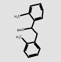 COC(Cc1ccccc1C)c1ccccc1C